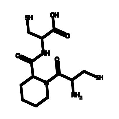 NC(CS)C(=O)N1CCCCC1C(=O)NC(CS)C(=O)O